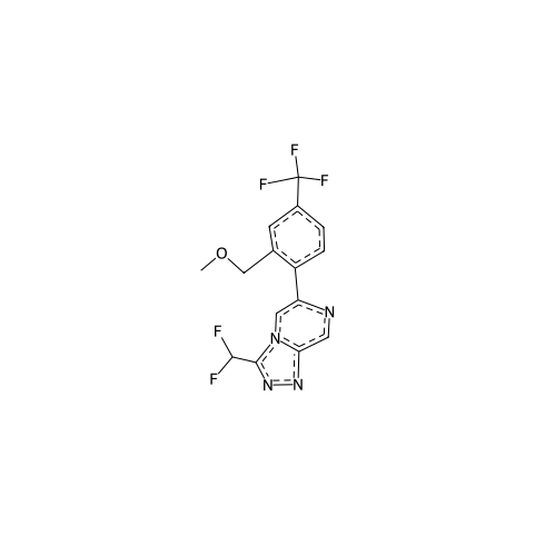 COCc1cc(C(F)(F)F)ccc1-c1cn2c(C(F)F)nnc2cn1